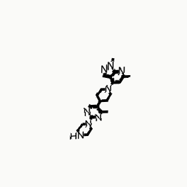 Cc1cc(N2CCC(c3cnc(N4CCNCC4)nc3C)CC2)c2cnn(C)c2n1